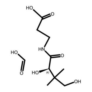 CC(C)(CO)[C@@H](O)C(=O)NCCC(=O)O.O=CO